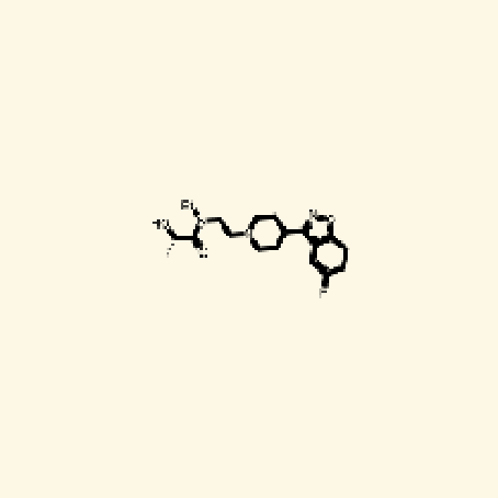 CCN(CCN1CCC(c2noc3c2C=C(F)CC3)CC1)C(=O)[C@H](C)O